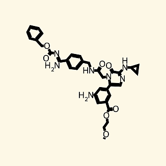 COCCOC(=O)c1cc(N)cc(-c2cnc(NC3CC3)c(=O)n2CC(=O)NCc2ccc(/C(N)=N/C(=O)OCc3ccccc3)cc2)c1